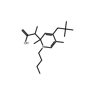 C=C(O)C(C)C1(C)C=C(CC(C)(C)C)C(C)=CN1CCCC